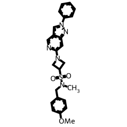 COc1ccc(CN(C)S(=O)(=O)C2CN(c3cc4nn(-c5ccccc5)cc4cn3)C2)cc1